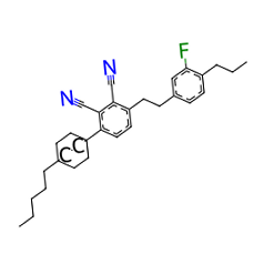 CCCCCC12CCC(c3ccc(CCc4ccc(CCC)c(F)c4)c(C#N)c3C#N)(CC1)CC2